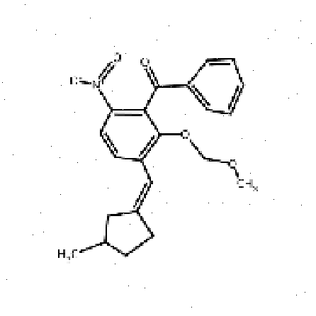 COCOc1c(C=C2CCC(C)C2)ccc([N+](=O)[O-])c1C(=O)c1ccccc1